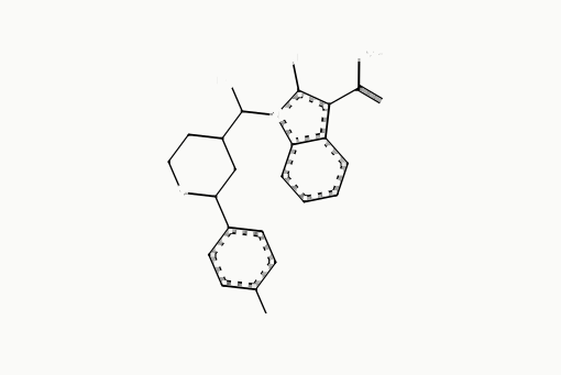 COC(=O)c1c(C)n(C(C)C2CCNC(c3ccc(F)cc3)C2)c2ccccc12